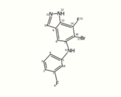 Fc1cccc(Nc2cc3cn[nH]c3c(F)c2Br)c1